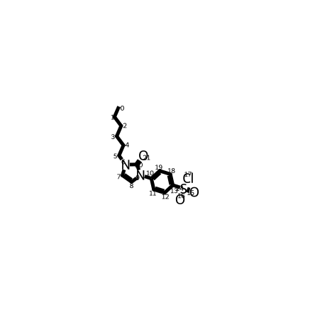 CCCCCCn1ccn(-c2ccc(S(=O)(=O)Cl)cc2)c1=O